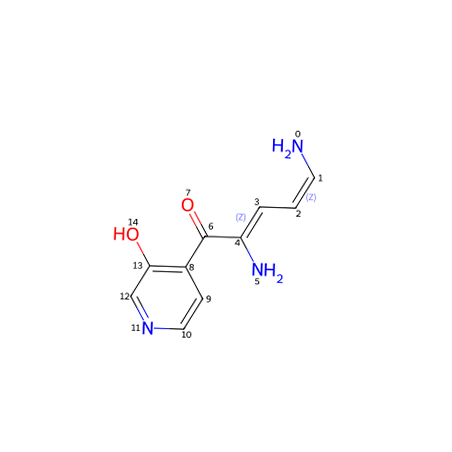 N/C=C\C=C(/N)C(=O)c1ccncc1O